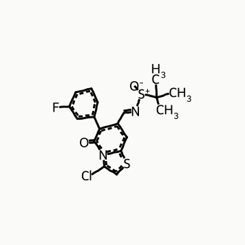 CC(C)(C)[S+]([O-])N=Cc1cc2scc(Cl)n2c(=O)c1-c1cccc(F)c1